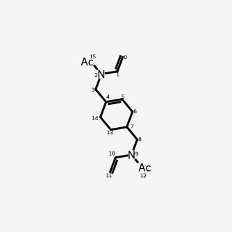 C=CN(CC1=CCC(CN(C=C)C(C)=O)CC1)C(C)=O